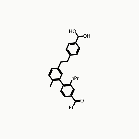 CCCc1cc(C(=O)CC)ccc1-c1cc(CCc2ccc(C(O)O)cc2)ccc1C